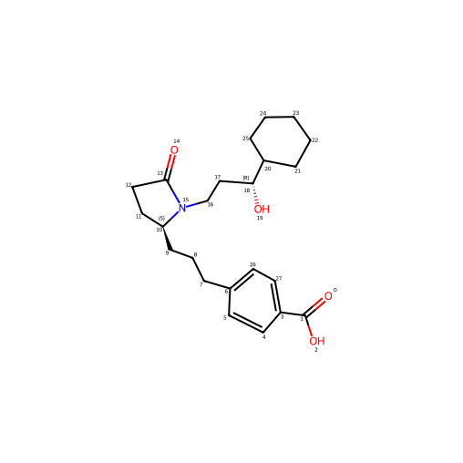 O=C(O)c1ccc(CCC[C@H]2CCC(=O)N2CC[C@@H](O)C2CCCCC2)cc1